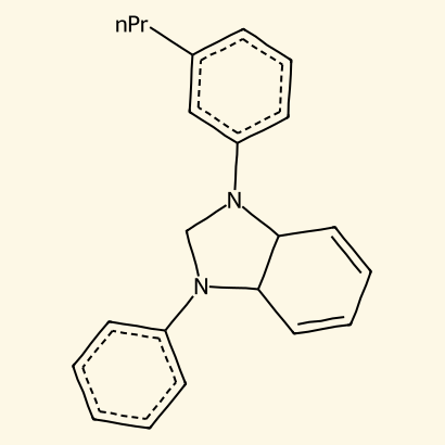 CCCc1cccc(N2CN(c3ccccc3)C3C=CC=CC32)c1